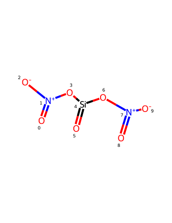 O=[N+]([O-])O[Si](=O)O[N+](=O)[O-]